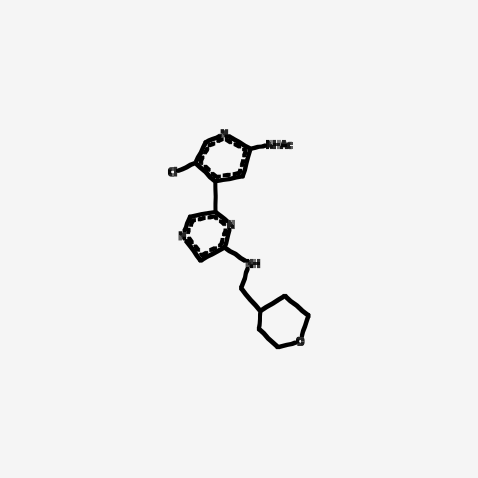 CC(=O)Nc1cc(-c2cncc(NCC3CCOCC3)n2)c(Cl)cn1